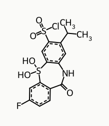 CC(C)c1cc2c(cc1S(=O)(=O)Cl)S(O)(O)c1cc(F)ccc1C(=O)N2